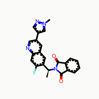 C[C@@H](c1cc2cc(-c3cnn(C)c3)cnc2cc1F)N1C(=O)c2ccccc2C1=O